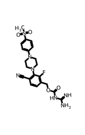 CS(=O)(=O)c1ccc(N2CCN(c3c(C#N)ccc(COC(=O)NC(=N)N)c3F)CC2)cc1